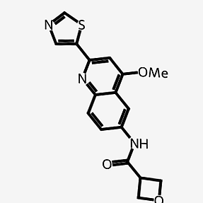 COc1cc(-c2cncs2)nc2ccc(NC(=O)C3COC3)cc12